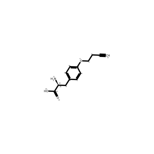 C#CCCOc1ccc(C[C@H](N)C(=O)O)cc1